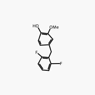 COc1cc(Cc2c(F)cccc2F)ccc1O